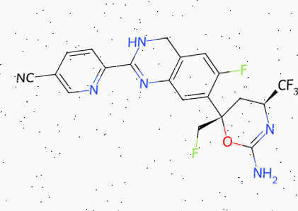 N#Cc1ccc(C2=Nc3cc([C@]4(CF)C[C@@H](C(F)(F)F)N=C(N)O4)c(F)cc3CN2)nc1